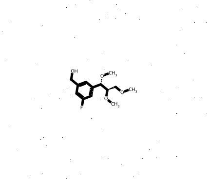 COC[C@@H](OC)[C@@H](OC)c1cc(F)cc(CO)c1